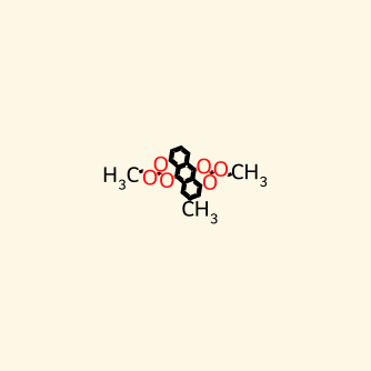 CCOC(=O)Oc1c2ccccc2c(OC(=O)OCC)c2cc(C)ccc12